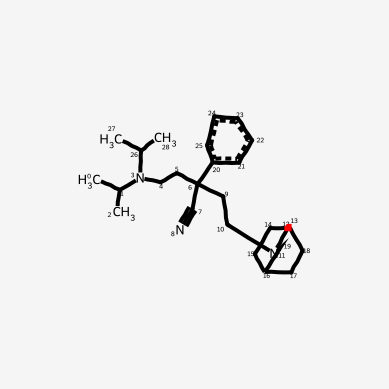 CC(C)N(CCC(C#N)(CCN1CC2CCC(CC2)C1)c1ccccc1)C(C)C